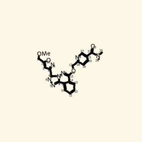 COCc1cc(-c2nnc3c4ccccc4c(OCc4ccc(C(=O)N(C)C)cn4)nn23)no1